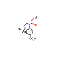 CC(C)(C)OC(=O)N1CC[C@](C)(C#N)c2cc(C(=O)O)ccc21